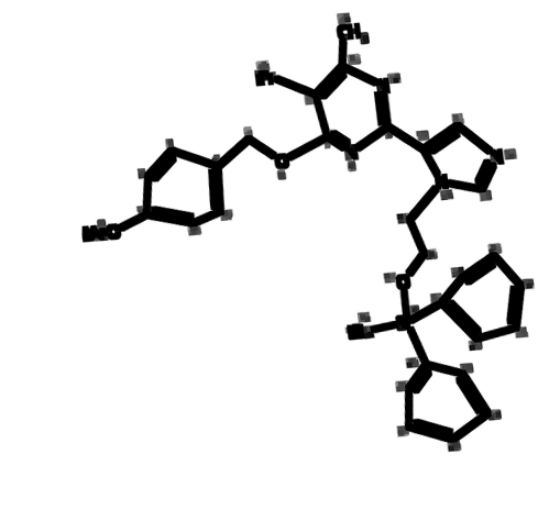 COc1ccc(COc2nc(-c3cncn3CCO[Si](c3ccccc3)(c3ccccc3)C(C)(C)C)nc(C)c2C(C)C)cc1